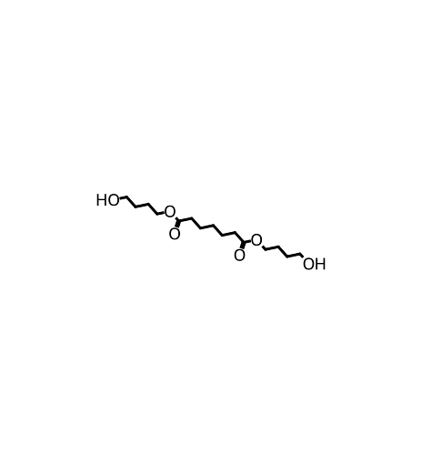 O=C(CCCCCC(=O)OCCCCO)OCCCCO